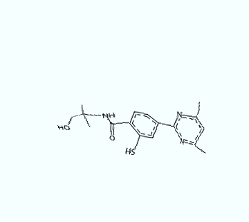 Cc1cc(C)nc(-c2ccc(C(=O)NC(C)(C)CO)c(S)c2)n1